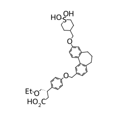 CCOC[C@@H](CC(=O)O)c1ccc(OCc2ccc3c(c2)-c2ccc(OCC4CCS(O)(O)CC4)cc2CCC3)cc1